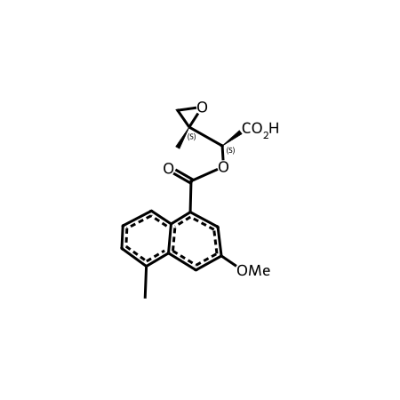 COc1cc(C(=O)O[C@H](C(=O)O)[C@]2(C)CO2)c2cccc(C)c2c1